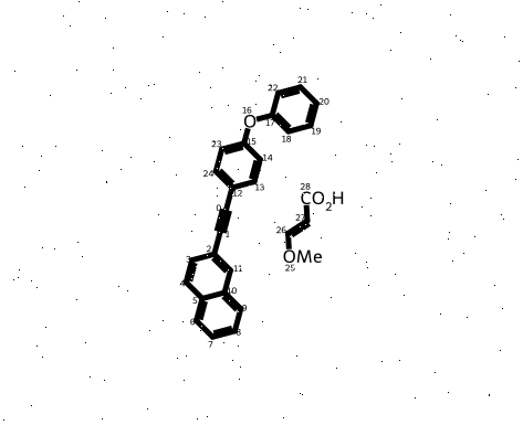 C(#Cc1ccc2ccccc2c1)c1ccc(Oc2ccccc2)cc1.COC=CC(=O)O